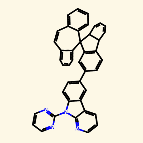 C1=CC2c3ccc(-c4ccc5c(c4)c4cccnc4n5-c4ncccn4)cc3C3(c4ccccc4C=Cc4ccccc43)C2C=C1